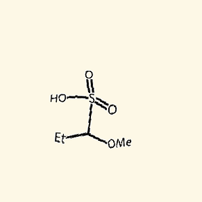 CCC(OC)S(=O)(=O)O